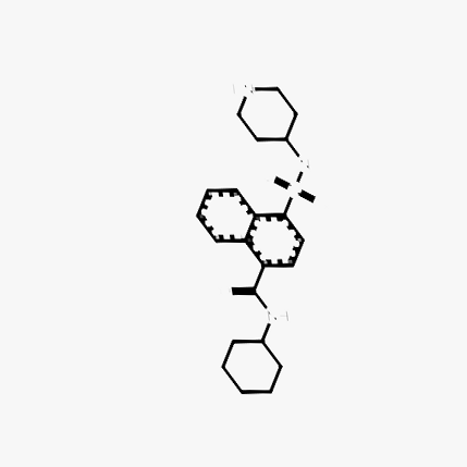 O=C(NC1CCCCC1)c1ccc(S(=O)(=O)NC2CCNCC2)c2ccccc12